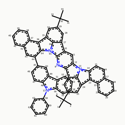 CC(C)(C)c1cc2c3nc4c(cc3n3c5ccc6ccccc6c5c(c1)c23)c1cc(C(C)(C)C)cc2c3c5ccccc5cc(-c5ccc6c(c5)c5ccccc5n6-c5ccccc5)c3n4c12